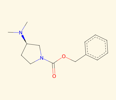 CN(C)[C@@H]1CCN(C(=O)OCc2ccccc2)C1